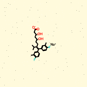 Cc1cc(C(=C(CC[C@@H](O)C[C@@H](O)CC(=O)[O-])C(C)C)c2ccc(F)c(C)c2)ccc1F.[Na+]